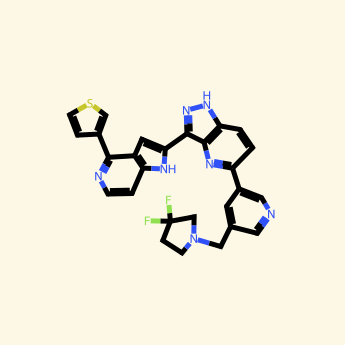 FC1(F)CCN(Cc2cncc(-c3ccc4[nH]nc(-c5cc6c(-c7ccsc7)nccc6[nH]5)c4n3)c2)C1